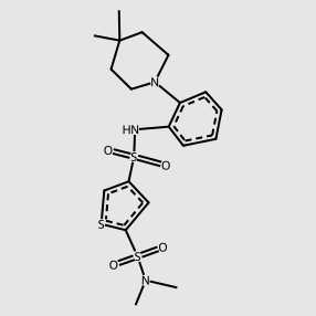 CN(C)S(=O)(=O)c1cc(S(=O)(=O)Nc2ccccc2N2CCC(C)(C)CC2)cs1